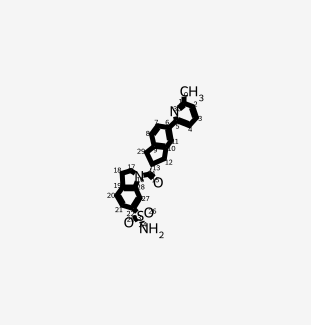 Cc1cccc(-c2ccc3c(c2)C[C@H](C(=O)N2CCc4ccc(S(N)(=O)=O)cc42)C3)n1